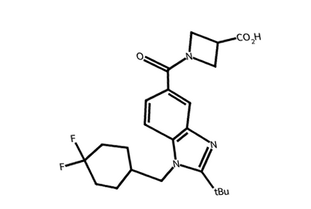 CC(C)(C)c1nc2cc(C(=O)N3CC(C(=O)O)C3)ccc2n1CC1CCC(F)(F)CC1